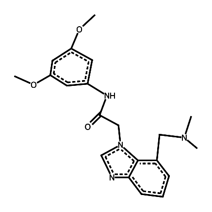 COc1cc(NC(=O)Cn2cnc3cccc(CN(C)C)c32)cc(OC)c1